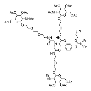 CCNC1C(OCCOCCNC(=O)CN(CC(=O)NCCOCCOCCOC2OC(COC(C)=O)C(OC(C)=O)C(OC(C)=O)C2NC(C)=O)C(Cc2ccc(OP(OCCC#N)N(C(C)C)C(C)C)cc2)C(=O)NCCOCCOC2OC(COC(C)=O)C(OC(C)=O)C(OC(C)=O)C2NC(C)=O)OC(COC(C)=O)C(OC(C)=O)C1OC(C)=O